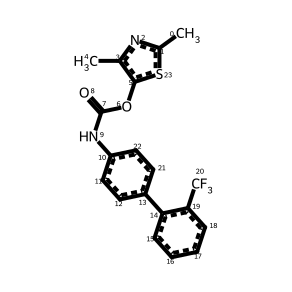 Cc1nc(C)c(OC(=O)Nc2ccc(-c3ccccc3C(F)(F)F)cc2)s1